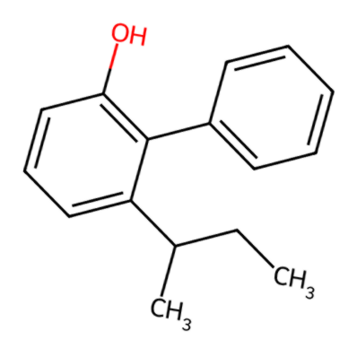 CCC(C)c1cccc(O)c1-c1ccccc1